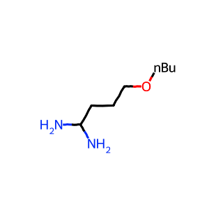 CCCCOCCCC(N)N